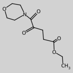 CCOC(=O)CCC(=O)C(=O)N1CCOCC1